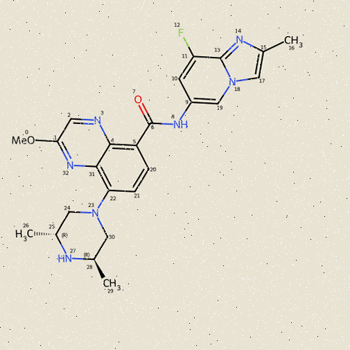 COc1cnc2c(C(=O)Nc3cc(F)c4nc(C)cn4c3)ccc(N3C[C@@H](C)N[C@H](C)C3)c2n1